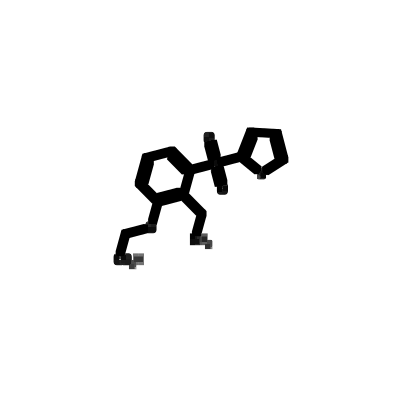 NCc1c(OCC(=O)O)cccc1S(=O)(=O)c1cccs1